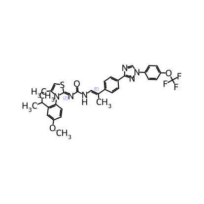 COc1ccc(-n2c(C)cs/c2=N\C(=O)N/C=C(\C)c2ccc(-c3ncn(-c4ccc(OC(F)(F)F)cc4)n3)cc2)c(C(C)C)c1